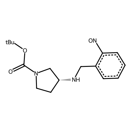 CC(C)(C)OC(=O)N1CC[C@@H](NCc2ccccc2N=O)C1